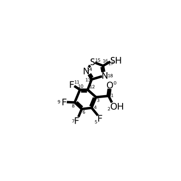 O=C(O)c1c(F)c(F)c(F)c(F)c1-c1nsc(S)n1